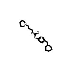 O=C(NCCCN1CCCCC1)Oc1ccc(CC2CCCCC2)cn1